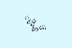 CN(C(=O)c1ccc(-c2cnc3ccc(/C(C=N)=C/N)cn23)cc1F)C1(c2ccccc2)CCCC1